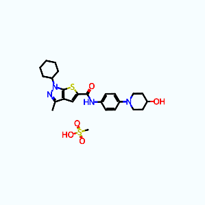 CS(=O)(=O)O.Cc1nn(C2CCCCC2)c2sc(C(=O)Nc3ccc(N4CCC(O)CC4)cc3)cc12